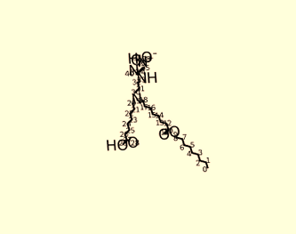 CCCCCCCCCOC(=O)CCCCCCCN(CCCCCCCC(=O)O)CCCN/C(=C/[N+](=O)[O-])NC